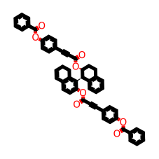 O=C(C#Cc1ccc(OC(=O)c2ccccc2)cc1)Oc1ccc2c(c1[C@H]1c3ccccc3CC[C@H]1OC(=O)C#Cc1ccc(OC(=O)c3ccccc3)cc1)CCC=C2